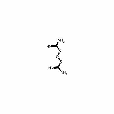 N=C(N)SOSC(=N)N